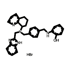 Br.Oc1ccccc1NCc1ccc(CN(Cc2nc3ccccc3[nH]2)C2CCCc3cccnc32)cc1